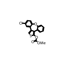 COC(=O)Oc1scc2c1-c1ccccc1Oc1ccc(Cl)cc1-2